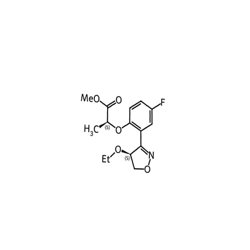 CCO[C@@H]1CON=C1c1cc(F)ccc1O[C@@H](C)C(=O)OC